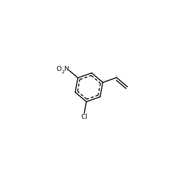 C=[C]c1cc(Cl)cc([N+](=O)[O-])c1